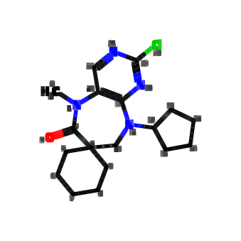 CN1C(=O)C2(CCCCC2)CN(C2CCCC2)c2nc(Cl)ncc21